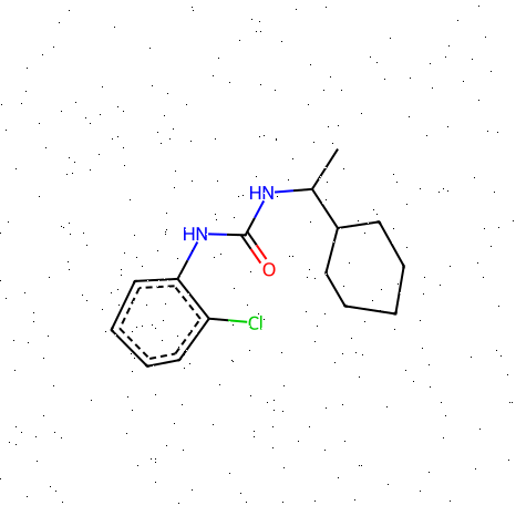 CC(NC(=O)Nc1ccccc1Cl)C1CCCCC1